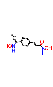 C=C=C(NO)c1ccc(/C=C/C(=O)NO)cc1